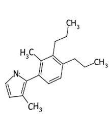 CCCc1ccc(C2=C(C)C=C[N]2)c(C)c1CCC